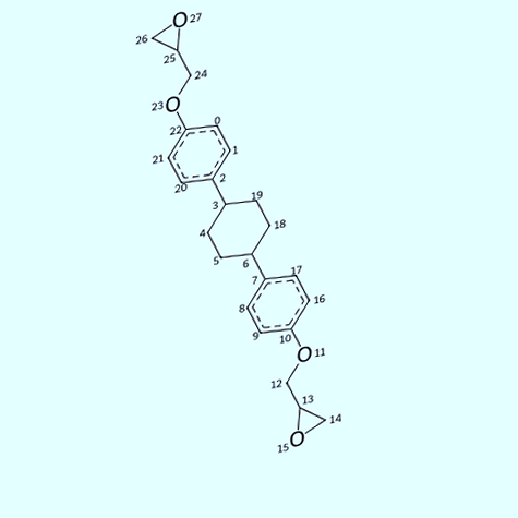 c1cc(C2CCC(c3ccc(OCC4CO4)cc3)CC2)ccc1OCC1CO1